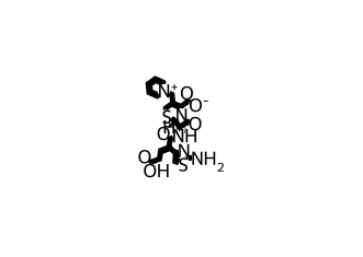 Nc1nc(C(=CCC(=O)O)C(=O)N[C@@H]2C(=O)N3C(C(=O)[O-])=C(C[n+]4ccccc4)CS[C@@H]23)cs1